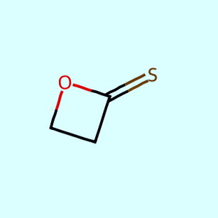 S=C1CCO1